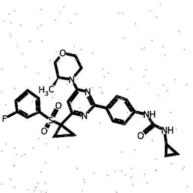 C[C@H]1COCCN1c1cc(C2(S(=O)(=O)c3cccc(F)c3)CC2)nc(-c2ccc(NC(=O)NC3CC3)cc2)n1